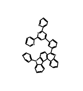 c1ccc(-n2c3ccccc3c3c4c(ccc32)c(-c2cccc(-c3cc(-c5ccccn5)nc(-c5ccccn5)c3)c2)nc2ccccc24)cc1